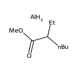 CCCCC(CC)C(=O)OC.[AlH3]